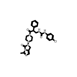 Cc1ncc2n1C(=O)N(N1CCN(C(=O)C(CNC(=O)Nc3ccc(Cl)cc3)c3ccccc3)CC1)C2